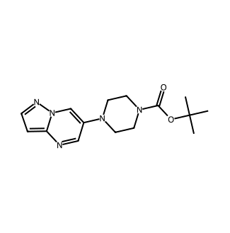 CC(C)(C)OC(=O)N1CCN(c2cnc3ccnn3c2)CC1